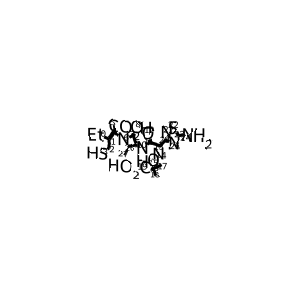 CC/C(CS)=C(\C(=O)O)N1C(=O)[C@@H](NC(=O)/C(=N\OC(C)(C)C(=O)O)c2nsc(N)n2)[C@H]1C